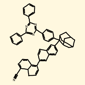 N#CC1=CC=CC2=C(c3ccc4cc(C5(c6ccc(-c7nc(-c8ccccc8)nc(-c8ccccc8)n7)cc6)C6CC7CC(C6)CC5C7)ccc4c3)C=CCC12